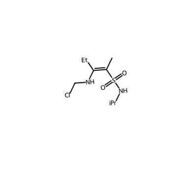 CC/C(NCCl)=C(\C)S(=O)(=O)NC(C)C